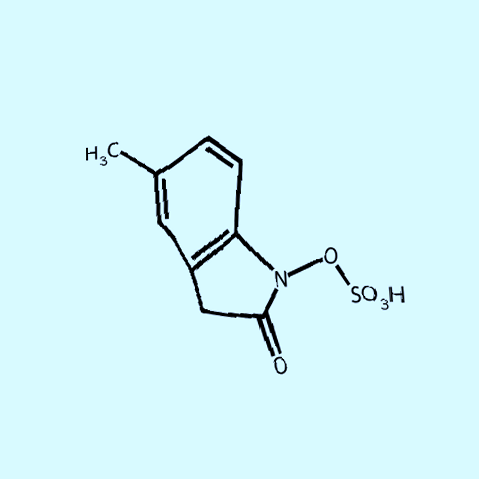 Cc1ccc2c(c1)CC(=O)N2OS(=O)(=O)O